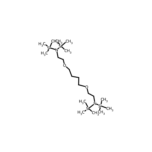 C[Si](C)(C)N(CCOCCCCOCCN([Si](C)(C)C)[Si](C)(C)C)[Si](C)(C)C